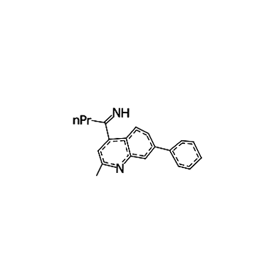 CCCC(=N)c1cc(C)nc2cc(-c3ccccc3)ccc12